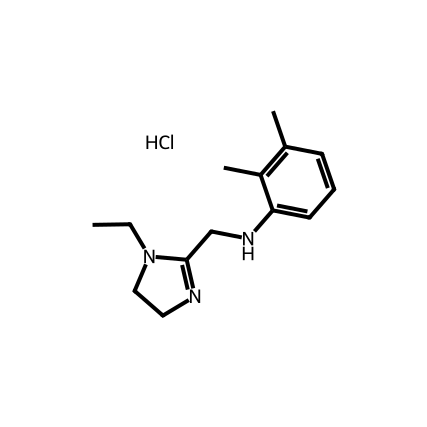 CCN1CCN=C1CNc1cccc(C)c1C.Cl